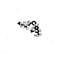 COc1c(N2CCC/C(=C(\F)CNC(=O)[C@H](C)NC(=O)OC(C)(C)C)C2)c(F)cc2c(=O)c(C(=O)O)cn(C3CC3)c12